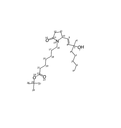 CCCCCC(C)(O)C=CC1CCC(=O)N1CCCCCCC(=O)OC(C)(C)C